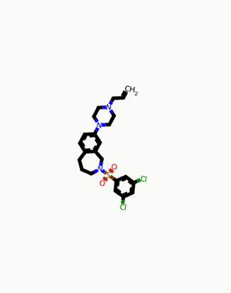 C=CCN1CCN(c2ccc3c(c2)CN(S(=O)(=O)c2cc(Cl)cc(Cl)c2)CCC3)CC1